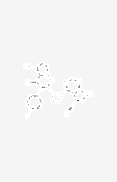 N#Cc1c[nH]c2ncnc(N3CC[C@H]3c3nn4ccc(Cl)c4c(=O)n3-c3ccc(F)cc3)c12